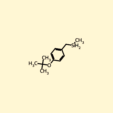 C[SiH2]Cc1ccc(OC(C)(C)C)cc1